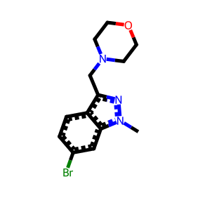 Cn1nc(CN2CCOCC2)c2ccc(Br)cc21